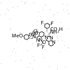 COc1ccc(CN(c2nn(CC(F)F)c3c(-n4c([C@H](Cc5cc(F)cc(F)c5)NC(=O)O)nc5ncccc5c4=O)ccc(Cl)c23)S(C)(=O)=O)cc1